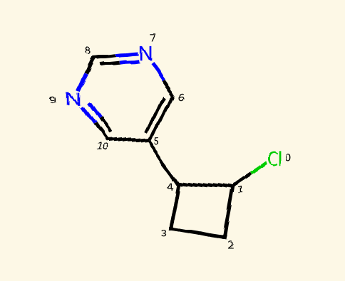 ClC1CCC1c1cncnc1